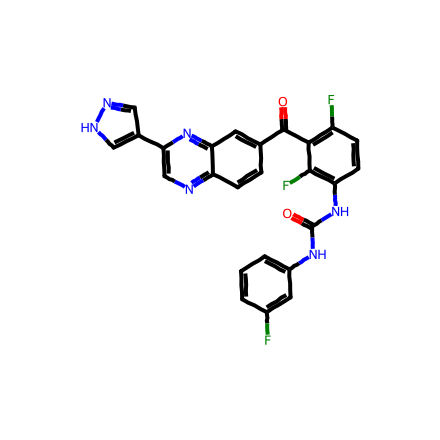 O=C(Nc1cccc(F)c1)Nc1ccc(F)c(C(=O)c2ccc3ncc(-c4cn[nH]c4)nc3c2)c1F